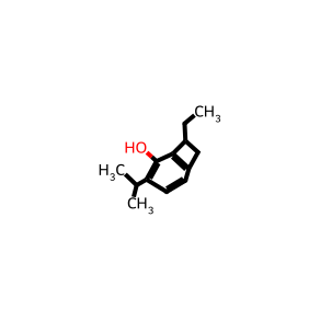 CCC1Cc2ccc(C(C)C)c(O)c21